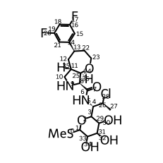 CSC1OC([C@H](NC(=O)[C@H]2NC[C@@H]3C[C@@H](c4cc(F)cc(F)c4)CCO[C@H]32)[C@H](C)Cl)C(O)C(O)C1O